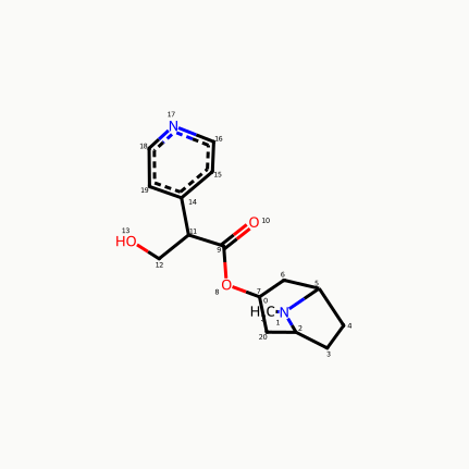 CN1C2CCC1CC(OC(=O)C(CO)c1ccncc1)C2